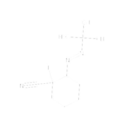 CC(C)(C)N=NC1CCCCC1(I)C#N